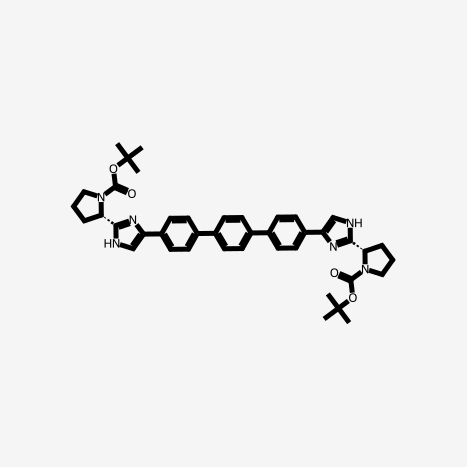 CC(C)(C)OC(=O)N1CCC[C@H]1c1nc(-c2ccc(-c3ccc(-c4ccc(-c5c[nH]c([C@@H]6CCCN6C(=O)OC(C)(C)C)n5)cc4)cc3)cc2)c[nH]1